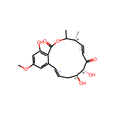 COc1cc(O)c2c(c1)/C=C/C[C@H](O)[C@@H](O)C(=O)/C=C/[C@@H](C)C(C)OC2=O